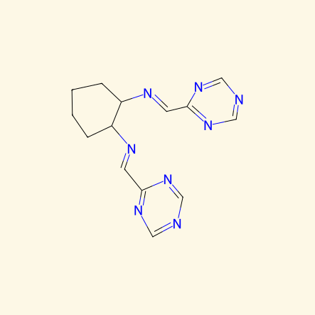 C(=N\C1CCCCC1/N=C/c1ncncn1)/c1ncncn1